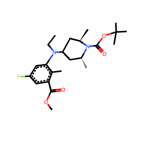 CCN(c1cc(F)cc(C(=O)OC)c1C)C1C[C@@H](C)N(C(=O)OC(C)(C)C)[C@H](C)C1